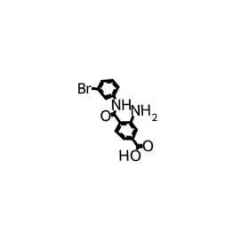 Nc1cc(C(=O)O)ccc1C(=O)Nc1cccc(Br)c1